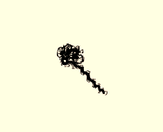 CCCCCCCCCCCCc1cccc(C([NH])=O)c1N1C(=O)CCC1=O